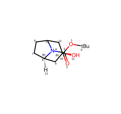 CC(C)(C)OC(=O)N1C2CC[C@@H]1C[C@H](O)C2